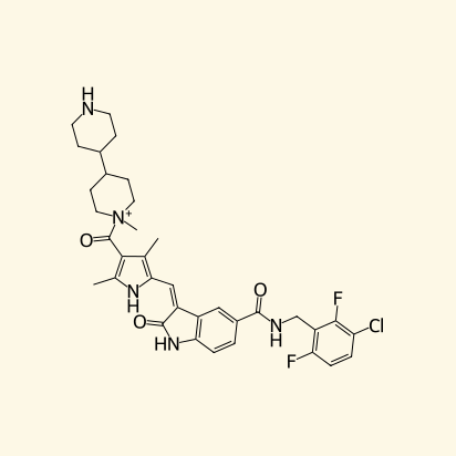 Cc1[nH]c(/C=C2\C(=O)Nc3ccc(C(=O)NCc4c(F)ccc(Cl)c4F)cc32)c(C)c1C(=O)[N+]1(C)CCC(C2CCNCC2)CC1